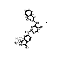 CC1(C)NC(=O)c2ccc(Nc3ncc(Br)c(NCCc4ccccc4O)n3)cc21